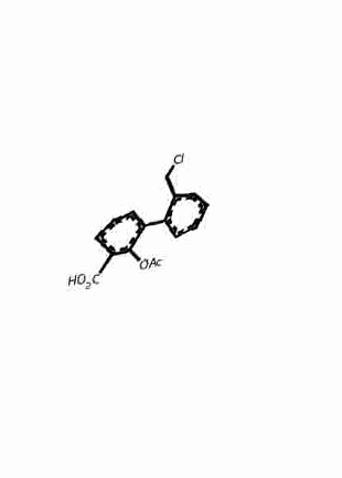 CC(=O)Oc1c(C(=O)O)cccc1-c1ccccc1CCl